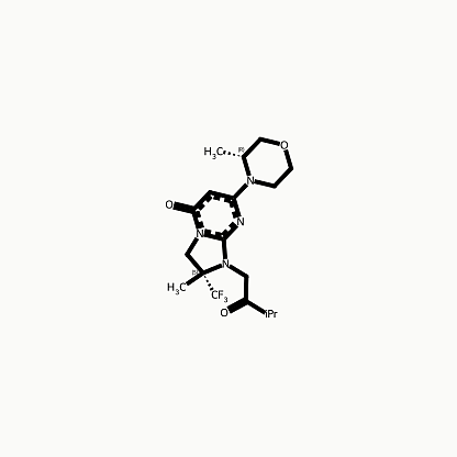 CC(C)C(=O)CN1c2nc(N3CCOC[C@H]3C)cc(=O)n2C[C@@]1(C)C(F)(F)F